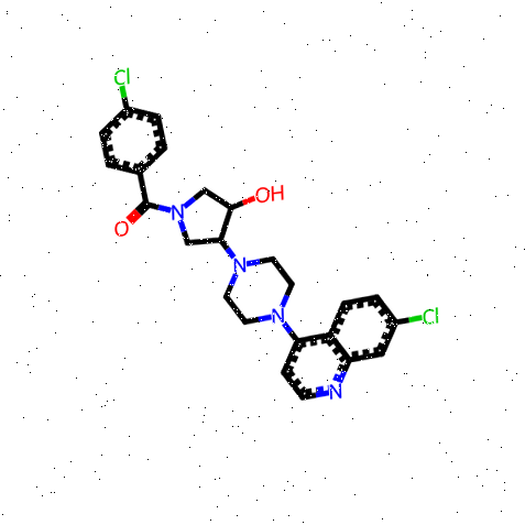 O=C(c1ccc(Cl)cc1)N1CC(O)C(N2CCN(c3ccnc4cc(Cl)ccc34)CC2)C1